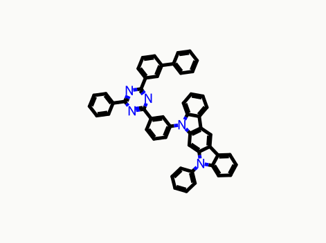 c1ccc(-c2cccc(-c3nc(-c4ccccc4)nc(-c4cccc(-n5c6ccccc6c6cc7c8ccccc8n(-c8ccccc8)c7cc65)c4)n3)c2)cc1